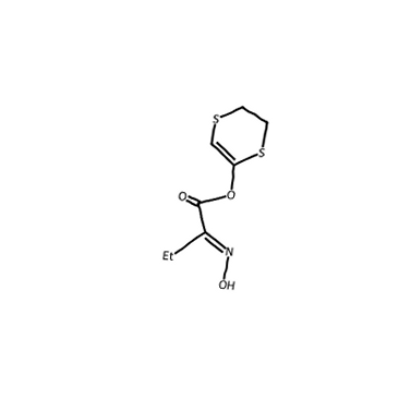 CCC(=NO)C(=O)OC1=CSCCS1